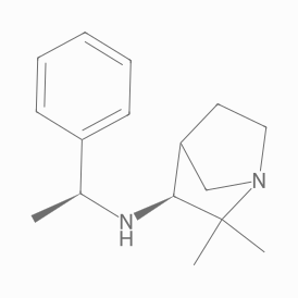 C[C@H](N[C@H]1C2CCN(C2)C1(C)C)c1ccccc1